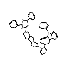 c1ccc(-c2nc(-c3ccccc3)nc(-c3ccc4c(c3)sc3cc(-c5ccccc5-c5ccc6c(c5)c5ccccc5n6-c5ccccc5)ccc34)n2)cc1